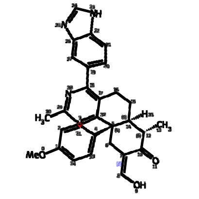 COc1ccc([C@]23C/C(=C/O)C(=O)[C@@H](C)[C@@H]2CCc2c(-c4ccc5[nH]cnc5c4)nc(C)nc23)cc1